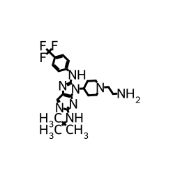 CC(C)(C)Nc1ncc2nc(Nc3ccc(C(F)(F)F)cc3)n(C3CCN(CCN)CC3)c2n1